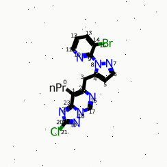 CCCc1c(Cc2ccnn2-c2ncccc2Br)ncn2nc(Cl)nc12